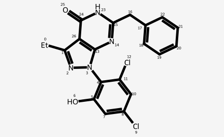 CCc1nn(-c2c(O)cc(Cl)cc2Cl)c2nc(Cc3ccccc3)[nH]c(=O)c12